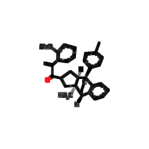 C=C(C(=O)C1C[C@H]2[C@@]3(c4ccc(C)cc4)CC[C@H](c4ccccc43)[C@@]2(C(=O)O)C1)c1ccccc1OC